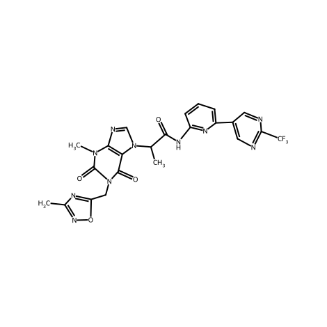 Cc1noc(Cn2c(=O)c3c(ncn3C(C)C(=O)Nc3cccc(-c4cnc(C(F)(F)F)nc4)n3)n(C)c2=O)n1